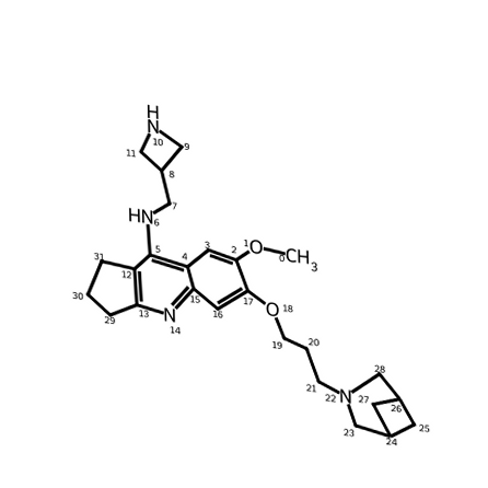 COc1cc2c(NCC3CNC3)c3c(nc2cc1OCCCN1CC2CC(C2)C1)CCC3